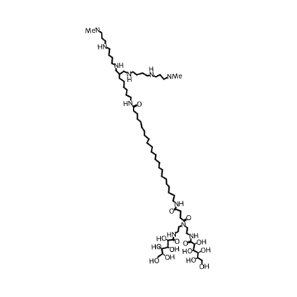 CNCCCNCCCCNCC(CCCCCCNC(=O)CCCCCCCCCCCCCCCCCCCCCCCNC(=O)CCC(=O)N(CCNC(=O)[C@@H](O)[C@H](O)[C@@H](O)[C@H](O)CO)CCNC(=O)[C@H](O)[C@@H](O)[C@H](O)[C@@H](O)CO)CNCCCCNCCCNC